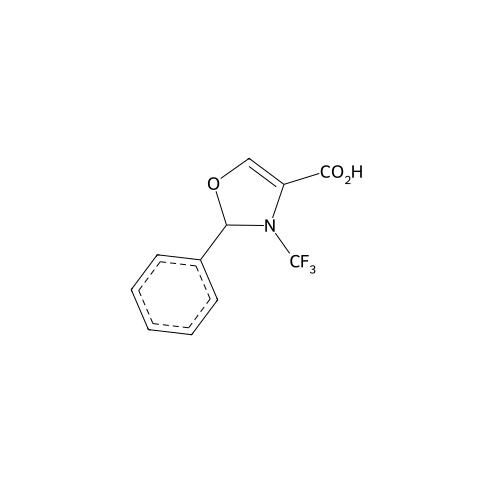 O=C(O)C1=COC(c2ccccc2)N1C(F)(F)F